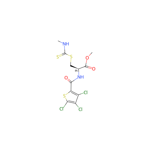 CNC(=S)SC[C@H](NC(=O)c1sc(Cl)c(Cl)c1Cl)C(=O)OC